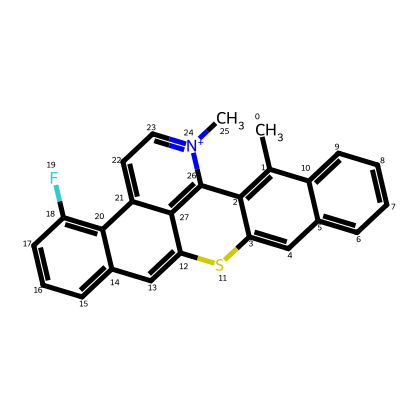 Cc1c2c(cc3ccccc13)Sc1cc3cccc(F)c3c3cc[n+](C)c-2c13